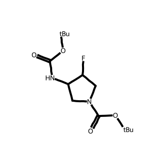 CC(C)(C)OC(=O)NC1CN(C(=O)OC(C)(C)C)CC1F